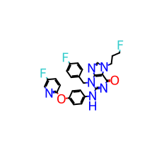 O=c1nc(Nc2ccc(Oc3ccc(F)cn3)cc2)n(Cc2ccc(F)cc2)c2ncn(CCCF)c12